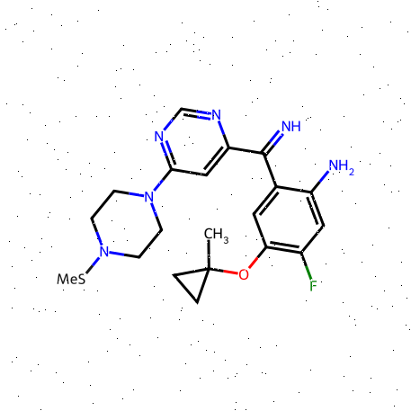 CSN1CCN(c2cc(C(=N)c3cc(OC4(C)CC4)c(F)cc3N)ncn2)CC1